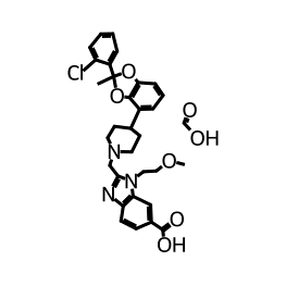 COCCn1c(CN2CCC(c3cccc4c3OC(C)(c3ccccc3Cl)O4)CC2)nc2ccc(C(=O)O)cc21.O=CO